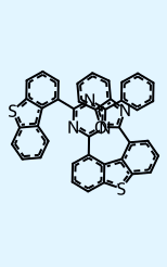 c1ccc(-c2nc(-c3cccc4sc5ccccc5c34)nc(-c3cccc4sc5cccc(-c6nc7ccccc7o6)c5c34)n2)cc1